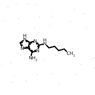 CCCCCNc1nc(N)c2nc[nH]c2n1